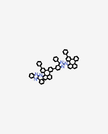 c1ccc(-c2cc3c4c5c6c(cccc6ccc5n(-c5nc(-c6ccccc6)c6cc(-c7ccc8c(c7)-c7cccc9ccc%10c(c79)c7c-8cc(-c8ccccc8)cc7n%10-c7nc8ccccc8nc7-c7ccccc7)ccc6n5)c4c2)-c2ccccc2-3)cc1